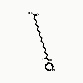 C1=CC=CNC=C1.NC(=O)CCCCCCCCCCCCCCC(N)=O